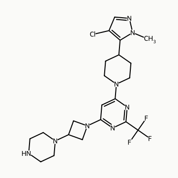 Cn1ncc(Cl)c1C1CCN(c2cc(N3CC(N4CCNCC4)C3)nc(C(F)(F)F)n2)CC1